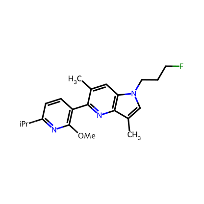 COc1nc(C(C)C)ccc1-c1nc2c(C)cn(CCCF)c2cc1C